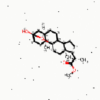 COC(=O)[C@@H](C)[C@H]1CCC2C3CC[C@@H]4C[C@@]5(O)CC[C@]4(C)[C@]3(CC[C@@]21C)O5